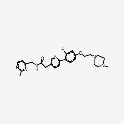 Cc1nccc(CNC(=O)Cc2ccc(-c3ccc(OCCN4CCN(C)CC4)cc3F)nc2)n1